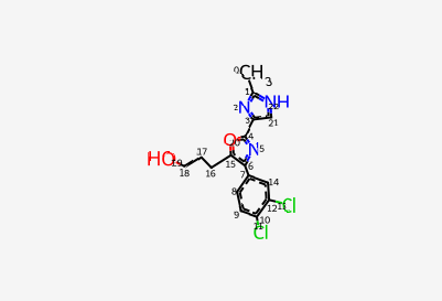 Cc1nc(-c2nc(-c3ccc(Cl)c(Cl)c3)c(CCCO)o2)c[nH]1